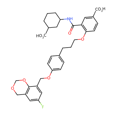 O=C(O)c1ccc(OCCCc2ccc(OCc3cc(F)cc4c3OCOC4)cc2)c(C(=O)NC2CCCC(C(=O)O)C2)c1